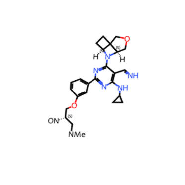 CNC[C@@H](COc1cccc(-c2nc(NC3CC3)c(C=N)c(N3[C@H]4CCC45COC[C@@H]35)n2)c1)N=O